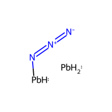 [N-]=[N+]=[N][PbH].[PbH2]